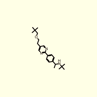 CC(NC(C)(C)C)c1ccc(-c2ncc(CCOCC(C)(C)C)cn2)cc1